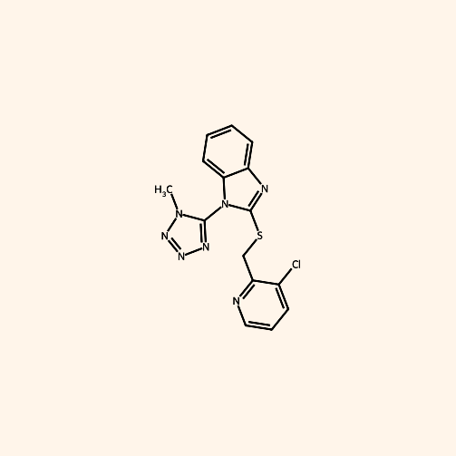 Cn1nnnc1-n1c(SCc2ncccc2Cl)nc2ccccc21